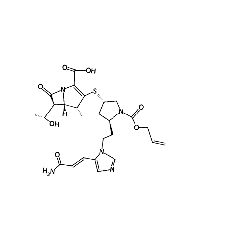 C=CCOC(=O)N1C[C@@H](SC2=C(C(=O)O)N3C(=O)[C@H]([C@@H](C)O)[C@H]3[C@H]2C)C[C@@H]1CCn1cncc1C=CC(N)=O